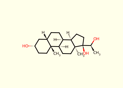 C[C@H](O)[C@@]1(O)CC[C@@H]2[C@@H]3CC[C@H]4C[C@@H](O)CC[C@@]4(C)[C@@H]3CC[C@@]21C